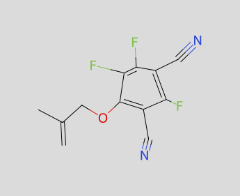 C=C(C)COc1c(F)c(F)c(C#N)c(F)c1C#N